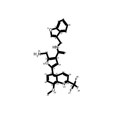 C=C(NCc1coc2ccccc12)c1cc(-c2ccc(OC)c3nc(C(F)(F)F)ccc23)oc1CN